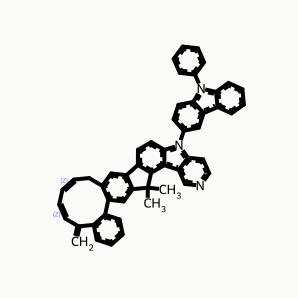 C=C1/C=C\C=C/Cc2cc3c(cc2-c2ccccc21)C(C)(C)c1c-3ccc2c1c1cnccc1n2-c1ccc2c(c1)c1ccccc1n2-c1ccccc1